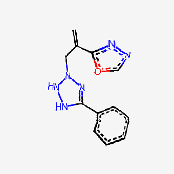 C=C(CN1N=C(c2ccccc2)NN1)c1nnco1